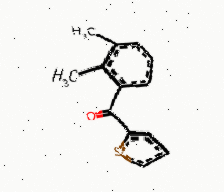 Cc1cccc(C(=O)c2cccs2)c1C